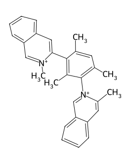 Cc1cc(C)c(-[n+]2cc3ccccc3cc2C)c(C)c1-c1cc2ccccc2c[n+]1C